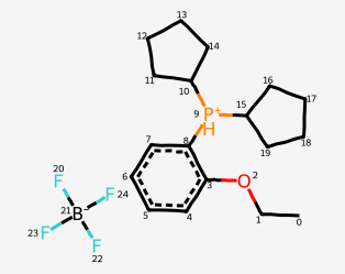 CCOc1ccccc1[PH+](C1CCCC1)C1CCCC1.F[B-](F)(F)F